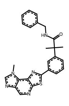 Cn1cnc2cnc3sc(-c4cccc(C(C)(C)C(=O)NCc5ccccc5)c4)nc3c21